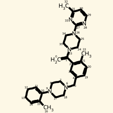 C=C(c1cc(CN2CCN(C3=CCCC=C3C)CC2)ccc1C)N1CCN(c2nccc(C)n2)CC1